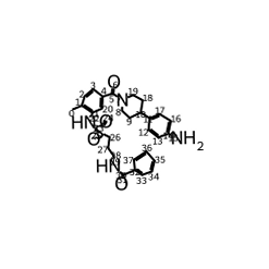 Cc1ccc(C(=O)N2CCC(c3ccc(N)cc3)CC2)cc1NS(=O)(=O)CCCNC(=O)c1ccccc1